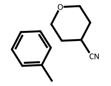 Cc1ccccc1.N#CC1CCOCC1